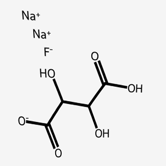 O=C([O-])C(O)C(O)C(=O)O.[F-].[Na+].[Na+]